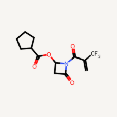 C=C(C(=O)N1C(=O)CC1OC(=O)C1CCCC1)C(F)(F)F